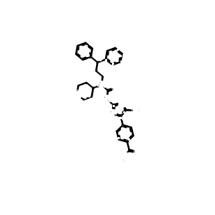 COC(=O)c1ccc(-c2nc(NC(=O)N(CCC(c3ccccc3)c3ccccc3)C3CCOCC3)sc2Cl)cc1